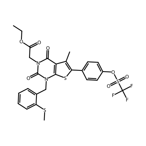 CCOC(=O)Cn1c(=O)c2c(C)c(-c3ccc(OS(=O)(=O)C(F)(F)F)cc3)sc2n(Cc2ccccc2SC)c1=O